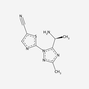 Cc1nc([C@H](C)N)n(-c2ncc(C#N)s2)n1